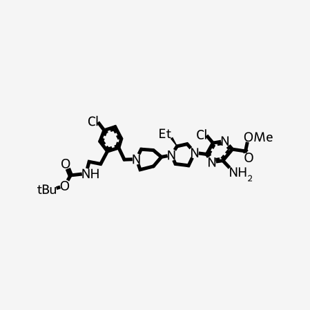 CC[C@H]1CN(c2nc(N)c(C(=O)OC)nc2Cl)CCN1C1CCN(Cc2ccc(Cl)cc2CCNC(=O)OC(C)(C)C)CC1